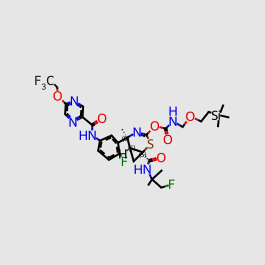 CC(C)(CF)NC(=O)[C@]12C[C@H]1[C@@](C)(c1cc(NC(=O)c3cnc(OCC(F)(F)F)cn3)ccc1F)N=C(OC(=O)NCOCC[Si](C)(C)C)S2